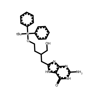 CC(C)(C)[Si](OCCC(CO)Cc1nc2nc(N)[nH]c(=O)c2[nH]1)(c1ccccc1)c1ccccc1